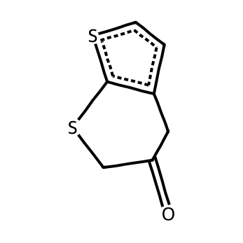 O=C1CSc2sccc2C1